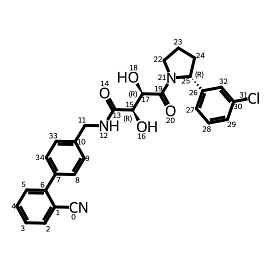 N#Cc1ccccc1-c1ccc(CNC(=O)[C@H](O)[C@@H](O)C(=O)N2CCC[C@@H]2c2cccc(Cl)c2)cc1